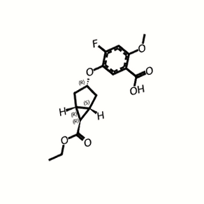 CCOC(=O)[C@H]1[C@@H]2C[C@H](Oc3cc(C(=O)O)c(OC)cc3F)C[C@@H]21